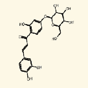 O=C(C=Cc1ccc(O)c(O)c1)c1ccc(OC2OC(CO)C(O)C(O)C2O)cc1O